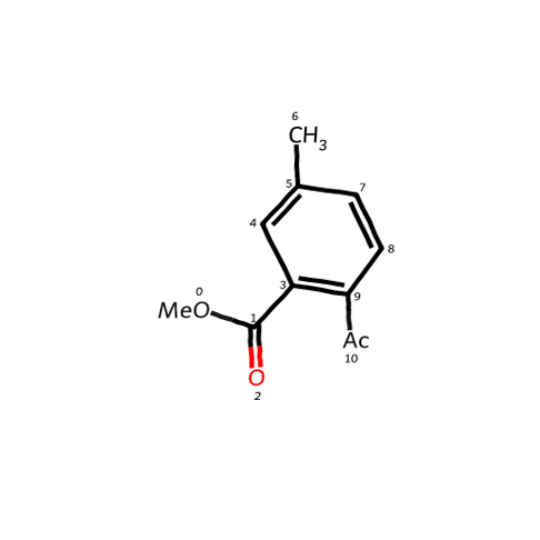 COC(=O)c1cc(C)ccc1C(C)=O